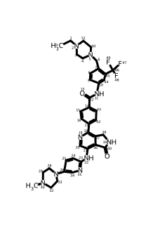 CCN1CCN(Cc2ccc(NC(=O)c3ccc(-c4ncc(Nc5ccc(N6CCN(C)CC6)cn5)c5c4CNC5=O)cc3)cc2C(F)(F)F)CC1